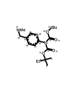 CCC(C)(C)OC(=O)N(C(=O)OC(C)(C)C)c1ccc(CNC)cn1